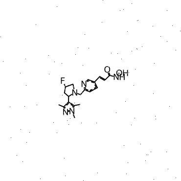 Cc1nn(C)c(C)c1C1C[C@@H](F)CN1Cc1ccc(/C=C/C(=O)NO)cn1